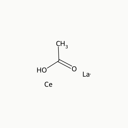 CC(=O)O.[Ce].[La]